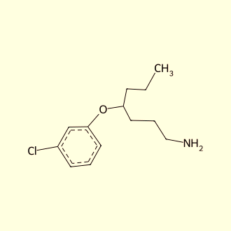 CCCC(CCCN)Oc1cccc(Cl)c1